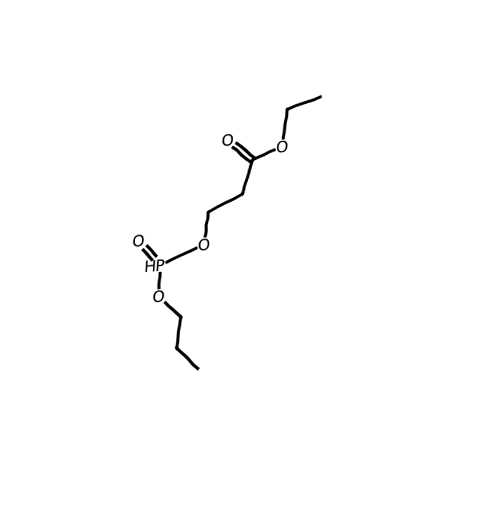 CCCO[PH](=O)OCCC(=O)OCC